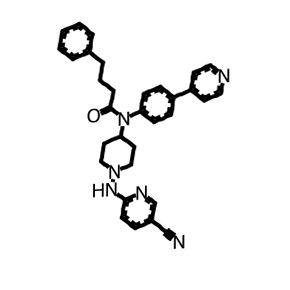 N#Cc1ccc(NN2CCC(N(C(=O)CCCc3ccccc3)c3ccc(-c4ccncc4)cc3)CC2)nc1